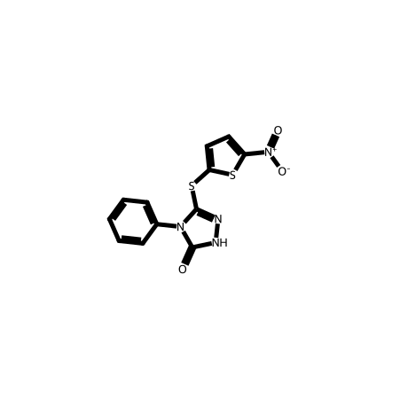 O=c1[nH]nc(Sc2ccc([N+](=O)[O-])s2)n1-c1ccccc1